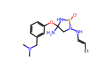 CCC=CNN1CC(N)(Oc2cccc(CN(C)C)c2)N[S+]1[O-]